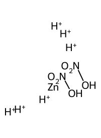 O=[N+]([O-])O.O=[N+]([O-])O.[H+].[H+].[H+].[H+].[H+].[H+].[Zn]